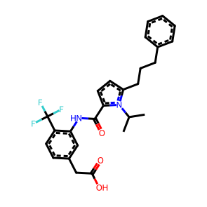 CC(C)n1c(CCCc2ccccc2)ccc1C(=O)Nc1cc(CC(=O)O)ccc1C(F)(F)F